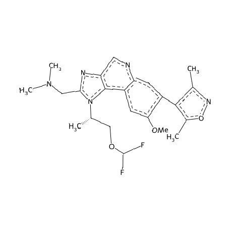 COc1cc2c(cc1-c1c(C)noc1C)ncc1nc(CN(C)C)n([C@@H](C)COC(F)F)c12